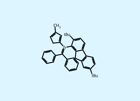 CC1=CC[C]([Zr](=[C](c2ccccc2)c2ccccc2)[c]2c(C(C)(C)C)ccc3c2Cc2cc(C(C)(C)C)ccc2-3)=C1